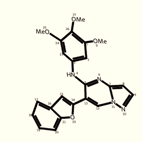 COc1cc(Nc2nc3ccnn3cc2-c2cc3ccccc3o2)cc(OC)c1OC